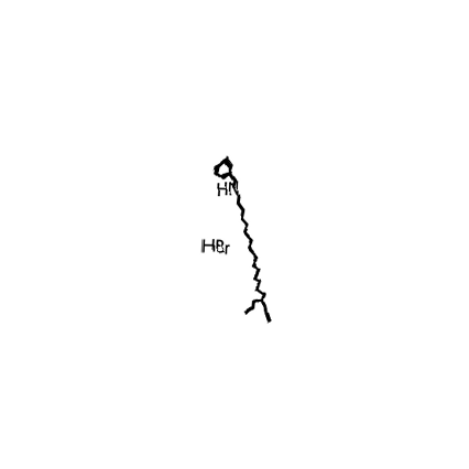 Br.C=CCC(CC=C)CCCCCCCCCCCCCCCNCc1ccccc1